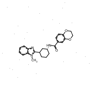 Cn1c(C2CCC[C@@H](NC(=O)c3ccc4c(c3)OCCO4)C2)nc2ccccc21